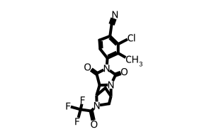 Cc1c(N2C(=O)C3C4CC(CN4C(=O)C(F)(F)F)N3C2=O)ccc(C#N)c1Cl